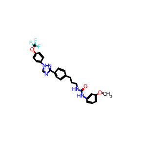 COc1cccc(NC(=O)NCCCc2ccc(-c3ncn(-c4ccc(OC(F)(F)F)cc4)n3)cc2)c1